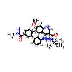 CNC(=O)c1ccc(-c2cc3c(Nc4ccccc4)c(C(=O)NC(C)(C)C)cnc3cc2OC)cc1